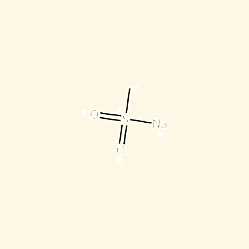 C[S](=O)(=O)[Na]